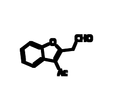 CC(=O)c1c(CC=O)oc2ccccc12